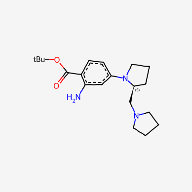 CC(C)(C)OC(=O)c1ccc(N2CCC[C@H]2CN2CCCC2)cc1N